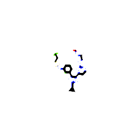 C[C@@H](CNc1nccc(-c2nc(C3CC3)[nH]c2-c2cc(Cl)cc(NS(=O)(=O)CCC(F)(F)F)c2F)n1)NC(=O)O